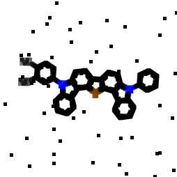 N#Cc1ccc(-n2c3ccccc3c3c4sc5c(ccc6c5c5ccccc5n6-c5ccccc5)c4ccc32)cc1C#N